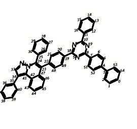 c1ccc(-c2ccc(-c3nc(-c4ccccc4)nc(-c4ccc(-c5c(-c6ccccc6)n6ncc(-c7ccccc7)c6c6ccccc56)cc4)n3)cc2)cc1